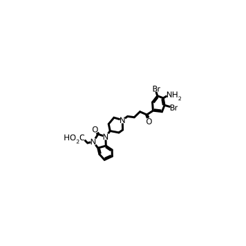 Nc1c(Br)cc(C(=O)CCCN2CCC(n3c(=O)n(CC(=O)O)c4ccccc43)CC2)cc1Br